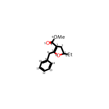 CCC1CC(C(=O)OC)=C(Cc2ccccc2)O1